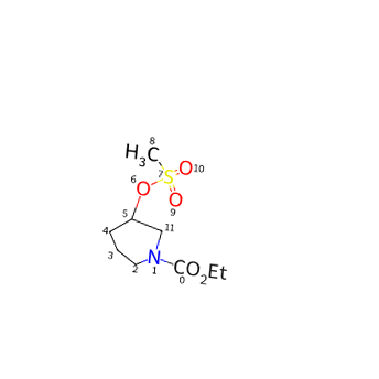 CCOC(=O)N1CCCC(OS(C)(=O)=O)C1